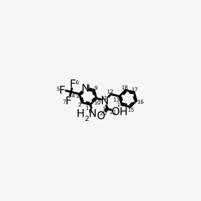 Nc1cc(C(F)(F)F)ncc1N(Cc1ccccc1)C(=O)O